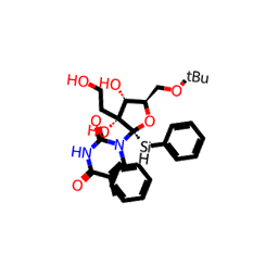 Cc1cn([C@]2([SiH](c3ccccc3)c3ccccc3)O[C@H](COC(C)(C)C)[C@@H](O)[C@]2(O)CCO)c(=O)[nH]c1=O